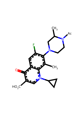 CC(=O)N1CCN(c2c(F)cc3c(=O)c(C(=O)O)cn(C4CC4)c3c2C)CC1C